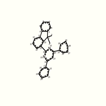 CC1(C)c2ccccc2-c2cccc(-c3nc(-c4ccccc4)cc(-c4ccccc4)n3)c21